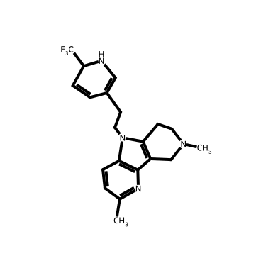 Cc1ccc2c(n1)c1c(n2CCC2=CNC(C(F)(F)F)C=C2)CCN(C)C1